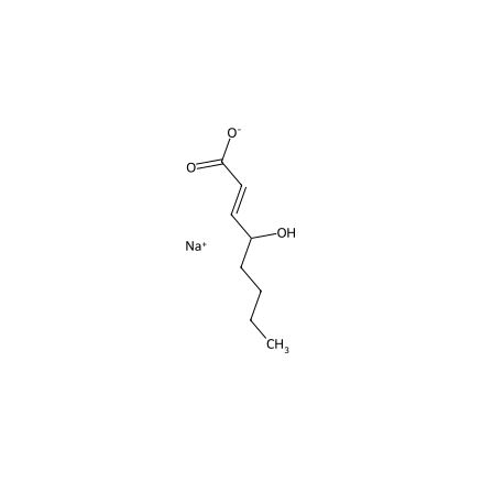 CCCCC(O)C=CC(=O)[O-].[Na+]